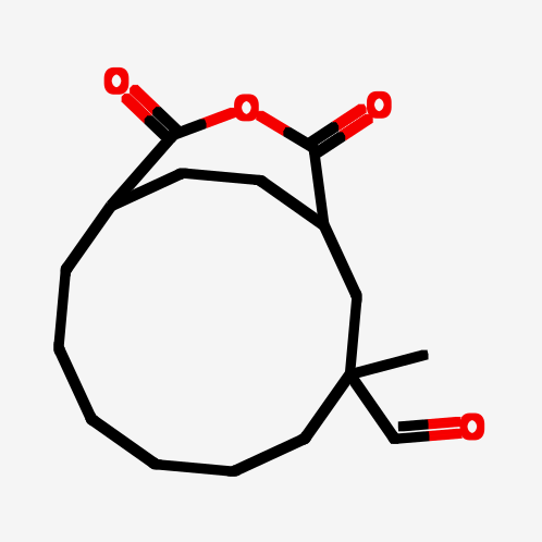 CC1(C=O)CCCCCCC2CCC(C1)C(=O)OC2=O